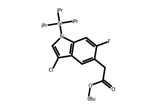 CC(C)[Si](C(C)C)(C(C)C)n1cc(Cl)c2cc(CC(=O)OC(C)(C)C)c(F)cc21